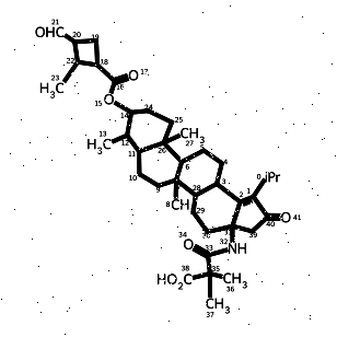 CC(C)C1=C2C3CCC4C(C)(CCC5C(C)C(OC(=O)C6CC(C=O)C6C)CCC54C)C3CCC2(NC(=O)C(C)(C)C(=O)O)CC1=O